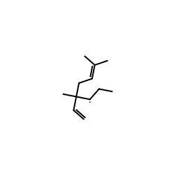 C=CC(C)([CH]CC)CC=C(C)C